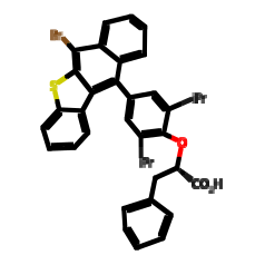 CC(C)c1cc(-c2c3ccccc3c(Br)c3sc4ccccc4c23)cc(C(C)C)c1O[C@H](Cc1ccccc1)C(=O)O